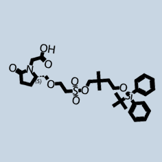 CC(C)(CCO[Si](c1ccccc1)(c1ccccc1)C(C)(C)C)COS(=O)(=O)CCOC[C@@H]1CCC(=O)N1CC(=O)O